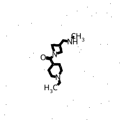 CCN1CCC(C(=O)N2CC(CNC)C2)CC1